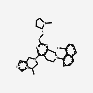 CC1CN(c2nc(OC[C@@H]3CCCN3C)nc3c2CCN(c2cccc4cccc(Cl)c24)C3)Cc2cncn21